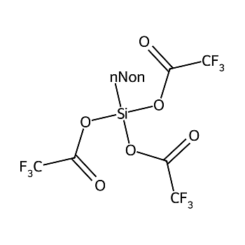 CCCCCCCCC[Si](OC(=O)C(F)(F)F)(OC(=O)C(F)(F)F)OC(=O)C(F)(F)F